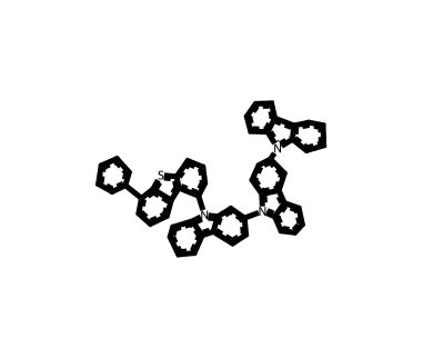 c1ccc(-c2cccc3c2sc2cccc(-n4c5ccccc5c5ccc(-n6c7ccccc7c7cc(-n8c9ccccc9c9ccccc98)ccc76)cc54)c23)cc1